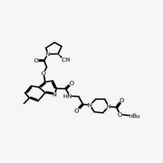 CCCCOC(=O)N1CCN(C(=O)CNC(=O)c2cc(OCC(=O)N3CCC[C@H]3C#N)c3ccc(C)cc3n2)CC1